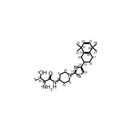 C[C@@H](O)[C@H](N)C(=O)NC1CCN(c2nc(C3CCC4=C(C3)C(C)(C)C=CC4(C)C)cs2)CC1